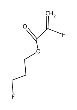 C=C(F)C(=O)OCCCF